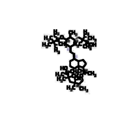 C=C1[C@H](CC(C)(C)[Si](C)(C)O)C/C(=C\C=C2/CCCC3(C)C2CCC3[C@@H](C)OC[C@H](C)C(C)(C)CC(C)(C)[Si](C)(C)O)C[C@H]1O[Si](C)(C)C(C)(C)C